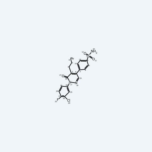 CC(C)CCc1c(-c2ccc(S(N)(=O)=O)cc2)cnn(-c2ccc(F)c(Cl)c2)c1=O